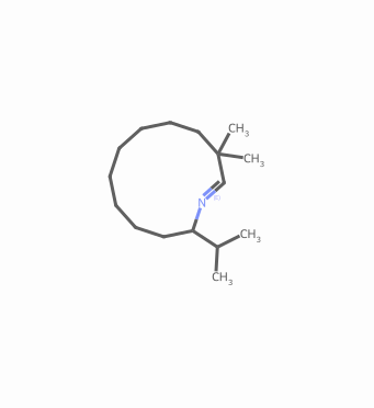 CC(C)C1CCCCCCCCC(C)(C)/C=N/1